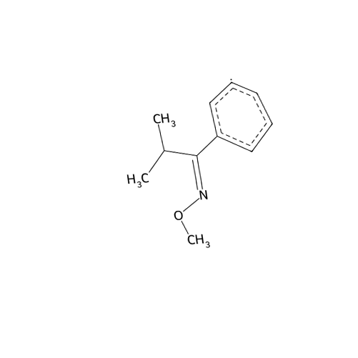 CON=C(c1c[c]ccc1)C(C)C